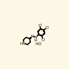 Cl.Clc1cc(Cl)c(NN=C2CCNCC2)cc1Cl